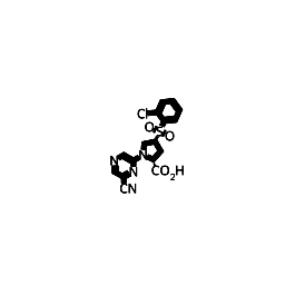 N#Cc1cncc(N2C[C@@H](S(=O)(=O)c3ccccc3Cl)C[C@@H]2C(=O)O)n1